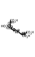 O=C(O)CNC(=O)CNC(=O)[C@H](CC(=O)O)NC(=O)Cc1ccc(CNC(=O)NCCCC[C@H](NC(=O)NCC(=O)O)C(=O)O)cc1